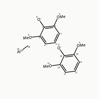 COc1cccc(OC)c1[O-].COc1cccc(OC)c1[O-].[CH3][Al+2]